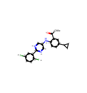 COC(=O)c1cc(C2CC2)ccc1Nc1cnc(-c2cc(F)ccc2F)nc1